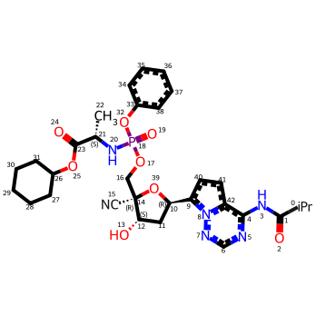 CC(C)C(=O)Nc1ncnn2c([C@H]3C[C@H](O)[C@@](C#N)(COP(=O)(N[C@@H](C)C(=O)OC4CCCCC4)Oc4ccccc4)O3)ccc12